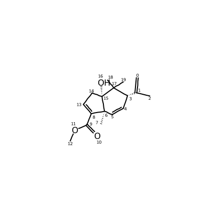 C=C(C)[C@@H]1C=C[C@@]2(C)C(C(=O)OC)=CC[C@@]2(O)C1(C)C